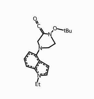 CCn1ccc2c(N3CCN(OC(C)(C)C)C(=C=O)C3)cccc21